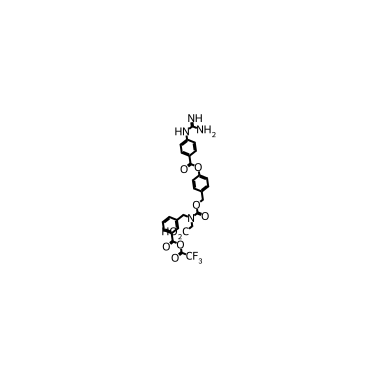 N=C(N)Nc1ccc(C(=O)Oc2ccc(COC(=O)N(CC(=O)O)Cc3cccc(C(=O)OC(=O)C(F)(F)F)c3)cc2)cc1